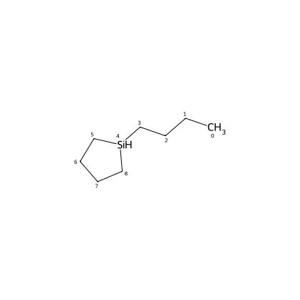 CCCC[SiH]1CCCC1